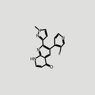 Cn1ccc(-c2nc3[nH]ccc(=O)c3cc2-c2ccncc2F)n1